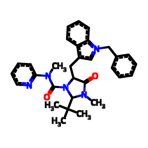 CN(C(=O)N1C(Cc2cn(Cc3ccccc3)c3ccccc23)C(=O)N(C)C1C(C)(C)C)c1ccccn1